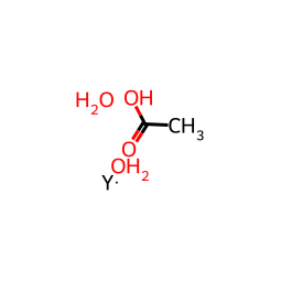 CC(=O)O.O.O.[Y]